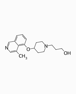 Cc1cncc2cccc(OC3CCN(CCCO)CC3)c12